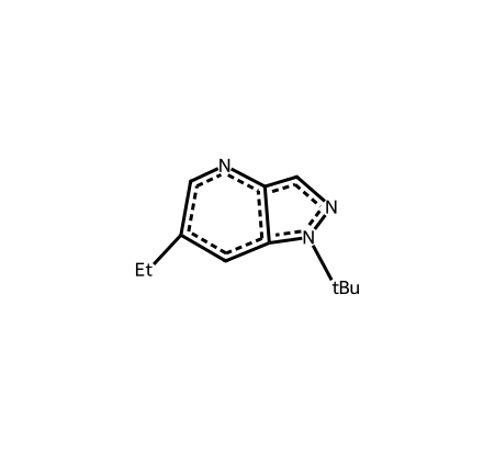 CCc1cnc2cnn(C(C)(C)C)c2c1